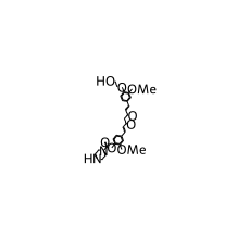 COc1cc(/C=C/C(=O)CC(=O)/C=C/c2ccc(OC(=O)N3CCNCC3)c(OC)c2)ccc1OCCO